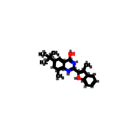 Cc1c(-c2nc(O)c3cc(C(C)(C)C)cc(C)c3n2)oc2ccccc12